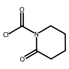 O=C(Cl)N1CCCCC1=O